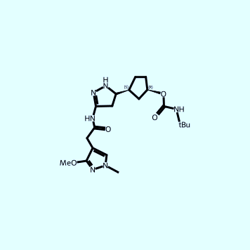 COc1nn(C)cc1CC(=O)NC1=NNC([C@H]2CC[C@@H](OC(=O)NC(C)(C)C)C2)C1